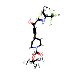 Cc1sc(C(=O)C#CC2CCN(C(=O)OC(C)(C)C)CC2)nc1C(F)(F)F